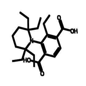 CCc1c(C(=O)O)ccc(C(=O)O)c1N1C(CC)(CC)CCCC1(CC)CC